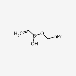 C=CB(O)OCCCC